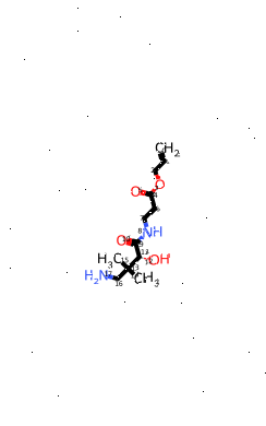 C=CCOC(=O)CCNC(=O)[C@H](O)C(C)(C)CN